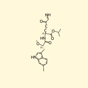 CO[C@@H](Cc1c[nH]c2cc(C)ccc12)C(=O)N[C@@H](CCC(=O)C=N)C(=O)OC(C)C